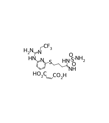 N=C(CCCSc1cccc(NC(N)=NCC(F)(F)F)n1)NS(N)(=O)=O.O=C(O)/C=C\C(=O)O